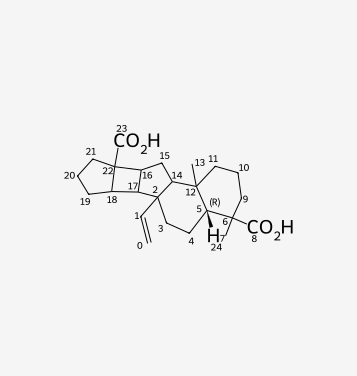 C=CC12CC[C@H]3C(C)(C(=O)O)CCCC3(C)C1CC1C2C2CCCC21C(=O)O